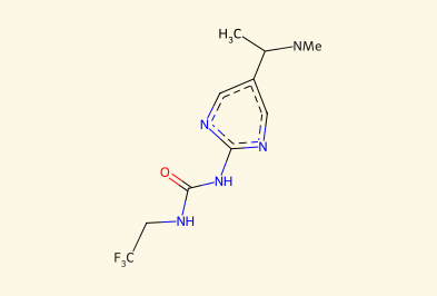 CNC(C)c1cnc(NC(=O)NCC(F)(F)F)nc1